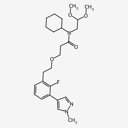 COC(CN(C(=O)CCOCCc1cccc(-c2cnn(C)c2)c1F)C1CCCCC1)OC